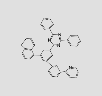 C1=Cc2c(cccc2-c2cc(-c3cccc(-c4ccccn4)c3)cc(-c3nc(-c4ccccc4)nc(-c4ccccc4)n3)c2)CC1